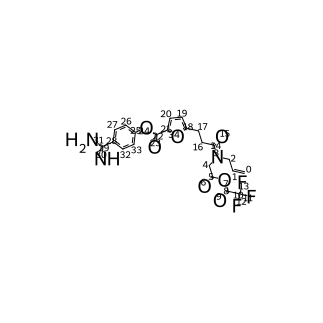 C=CCN(CC(=O)OC(=O)C(F)(F)F)C(=O)CCc1ccc(C(=O)Oc2ccc(C(=N)N)cc2)o1